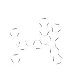 c1ccc(-c2nc(-c3ccccc3)nc(-c3ccc(-n4c5cc6ccccc6cc5c5cc6ccccc6cc54)c(-c4ccc5ccccc5c4)c3)n2)cc1